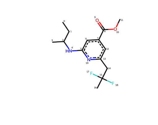 CCC(C)Nc1cc(C(=O)OC)cc(CC(C)(F)F)n1